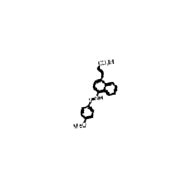 CCOC(=O)/C=C/c1ccc(NSc2ccc(OC)cc2)c2ccccc12